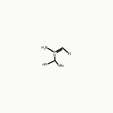 B/[PH](=C/CC)C(CCC)CCCC